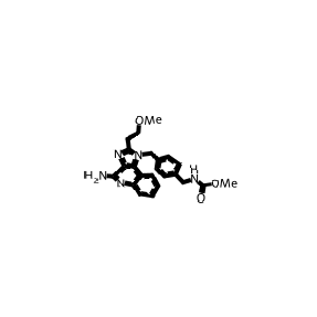 COCCc1nc2c(N)nc3ccccc3c2n1Cc1ccc(CNC(=O)OC)cc1